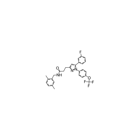 Cc1ccc(C)c(CNC(=O)CCc2cc(-c3cccc(F)c3)n(-c3ccc(OC(F)(F)F)cc3)n2)c1